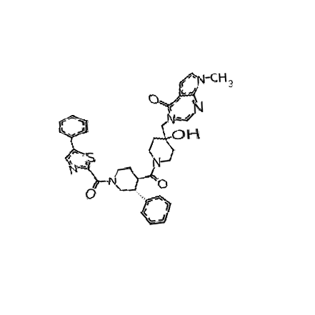 Cn1ccc2c(=O)n(CC3(O)CCN(C(=O)[C@@H]4CCN(C(=O)c5ncc(-c6ccccc6)s5)C[C@H]4c4ccccc4)CC3)cnc21